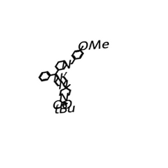 COc1ccc(CN2CCCC(C(c3ccccc3)N3CCN(C4(C)CCN(C(=O)OC(C)(C)C)CC4)C[C@@H]3C)C2)cc1